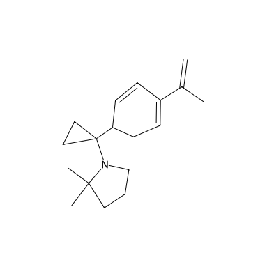 C=C(C)C1=CCC(C2(N3CCCC3(C)C)CC2)C=C1